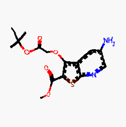 COC(=O)c1sc2ncc(N)cc2c1OCC(=O)OC(C)(C)C